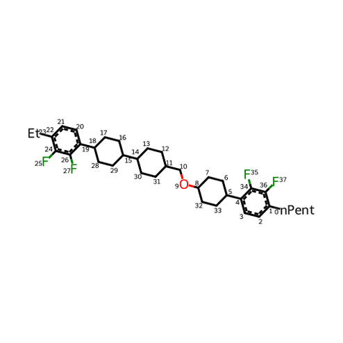 CCCCCc1ccc(C2CCC(OCC3CCC(C4CCC(c5ccc(CC)c(F)c5F)CC4)CC3)CC2)c(F)c1F